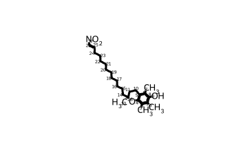 Cc1c(C)c2c(c(C)c1O)CCC(C)(CCCCCCCCCCCC=C[N+](=O)[O-])O2